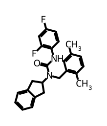 Cc1ccc(C)c(CN(C(=O)Nc2ccc(F)cc2F)C2Cc3ccccc3C2)c1